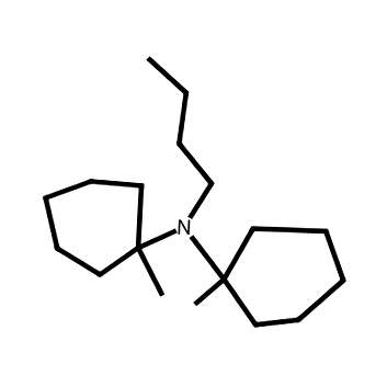 CCCCN(C1(C)CCCCC1)C1(C)CCCCC1